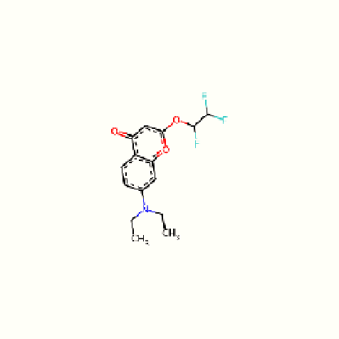 CCN(CC)c1ccc2c(=O)cc(OC(F)C(F)F)oc2c1